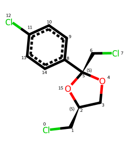 ClC[C@@H]1CO[C@@](CCl)(c2ccc(Cl)cc2)O1